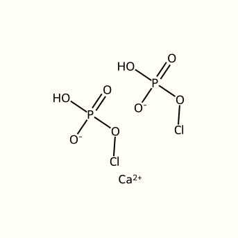 O=P([O-])(O)OCl.O=P([O-])(O)OCl.[Ca+2]